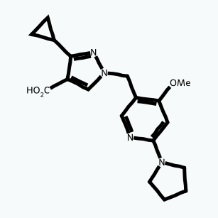 COc1cc(N2CCCC2)ncc1Cn1cc(C(=O)O)c(C2CC2)n1